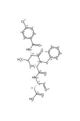 CC(C)[C@H](NC(=O)c1ccc(Cl)cc1)C(=O)N(CC(=O)N[C@H](C=O)CC(=O)O)Cc1ccccc1